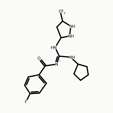 O=C(/N=C(/NC1CCCC1)NC1CC(C(F)(F)F)NN1)c1ccc(F)cc1